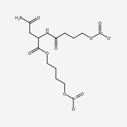 NC(=O)CC(NC(=O)CCCO[N+](=O)[O-])C(=O)OCCCCO[N+](=O)[O-]